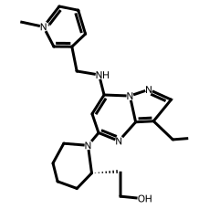 CCc1cnn2c(NCc3ccc[n+](C)c3)cc(N3CCCC[C@H]3CCO)nc12